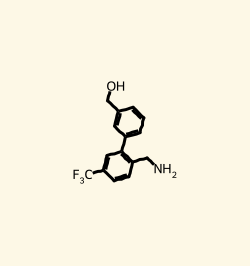 NCc1ccc(C(F)(F)F)cc1-c1cccc(CO)c1